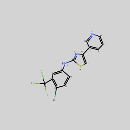 FC(F)(F)c1cc(Nc2nc(-c3cccnc3)cs2)ccc1Cl